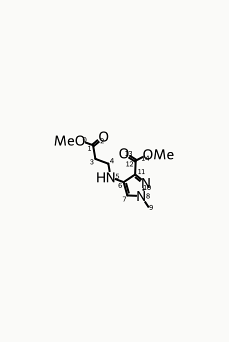 COC(=O)CCNc1cn(C)nc1C(=O)OC